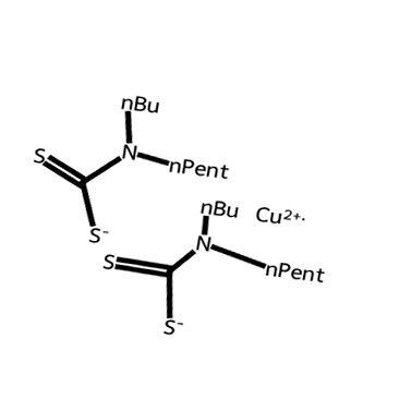 CCCCCN(CCCC)C(=S)[S-].CCCCCN(CCCC)C(=S)[S-].[Cu+2]